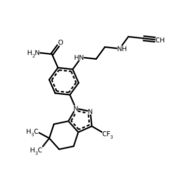 C#CCNCCNc1cc(-n2nc(C(F)(F)F)c3c2CC(C)(C)CC3)ccc1C(N)=O